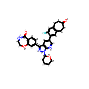 O=C1CCc2cc(F)c(-c3cnc4c(c3)c(-c3ccc5c(c3)OCCNC5=O)nn4C3CCCCO3)cc2CC1